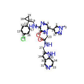 Cn1cc(-c2cnc(NCC3(c4ccc(Cl)cc4)CC3)c(=O)n2CC(=O)NCc2cc3cnccc3[nH]2)cn1